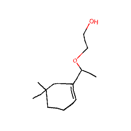 CC(OCCO)C1=CCCC(C)(C)C1